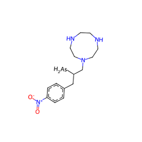 O=[N+]([O-])c1ccc(CC([AsH2])CN2CCNCCNCC2)cc1